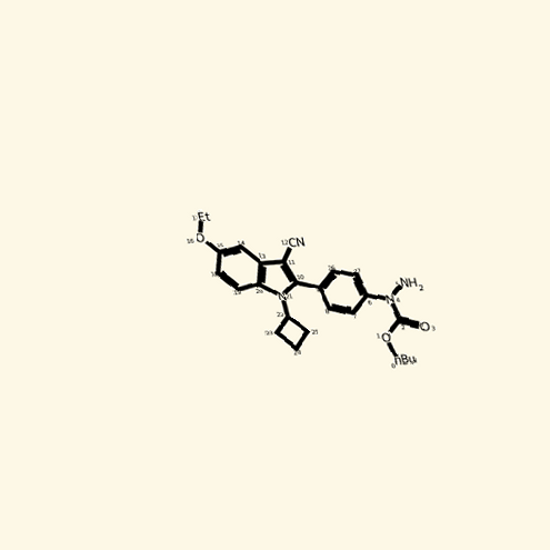 CCCCOC(=O)N(N)c1ccc(-c2c(C#N)c3cc(OCC)ccc3n2C2CCC2)cc1